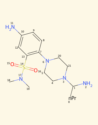 CCCC(N)N1CCN(c2ccc(N)cc2S(=O)(=O)N(C)C)CC1